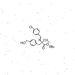 CC(C)(C)OC(=O)[C@](C)(Cc1ccc(CO)cc1)/N=C/c1ccc(Cl)cc1